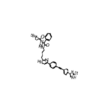 CCc1nc(-c2ccc(C#Cc3ccc(-c4c[nH]c(CCCCNC(=O)[C@H](NC(=O)OC(C)(C)C)c5ccccc5)n4)cc3)cc2)c[nH]1